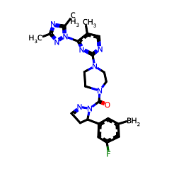 Bc1cc(F)cc(C2CC=NN2C(=O)N2CCN(c3ncc(C)c(-n4nc(C)nc4C)n3)CC2)c1